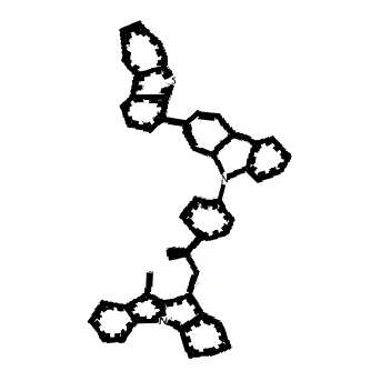 C=C(/C=c1/c2ccccc2n2c1c(C)c1ccccc12)c1ccc(N2c3ccccc3C3C=CC(c4cccc5c4sc4ccccc45)=CC32)cc1